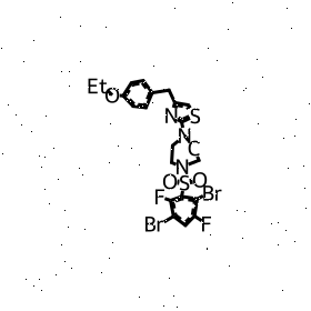 CCOc1ccc(Cc2csc(N3CCN(S(=O)(=O)c4c(F)c(Br)cc(F)c4Br)CC3)n2)cc1